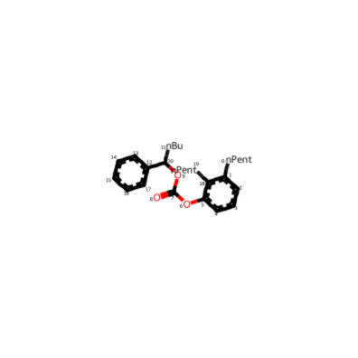 CCCCCc1cccc(OC(=O)OC(CCCC)c2ccccc2)c1CCCCC